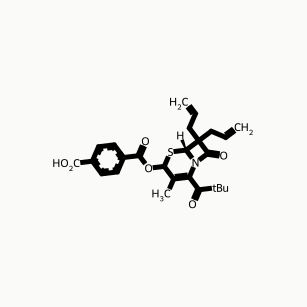 C=CCC1(CC=C)C(=O)N2C(C(=O)C(C)(C)C)=C(C)C(OC(=O)c3ccc(C(=O)O)cc3)S[C@@H]21